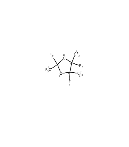 FC(F)(F)C1(F)OC(F)(C(F)(F)F)C(F)(C(F)(F)F)O1